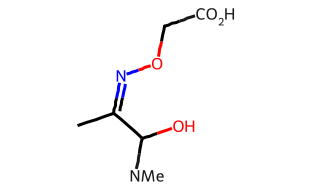 CNC(O)/C(C)=N\OCC(=O)O